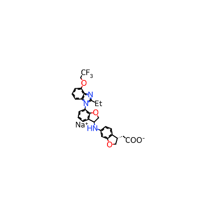 CCc1nc2c(OCC(F)(F)F)cccc2n1-c1cccc2c1OC[C@H]2Nc1ccc2c(c1)OC[C@H]2CC(=O)[O-].[Na+]